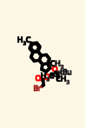 Cc1ccc2c(c1)CCC1C2CC[C@@]2(C)C1C[C@@H](OC(=O)CBr)[C@@H]2O[Si](C)(C)C(C)(C)C